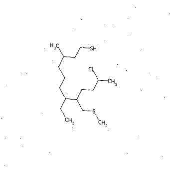 CCC(CCCC(C)CCS)C(CCC(C)Cl)CSC